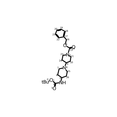 CC(C)(C)OC(=O)NC1CCN(C2CCN(C(=O)OCc3ccccc3)CC2)CC1